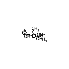 C=CCc1cc(C(O)(O)CCC)ccc1C#CC1(O)CN2CCC1CC2